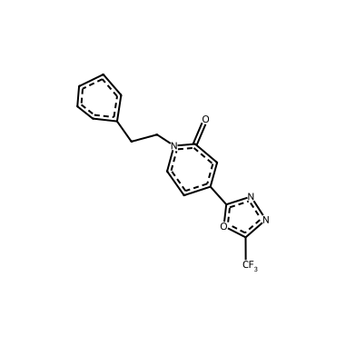 O=c1cc(-c2nnc(C(F)(F)F)o2)ccn1CCc1ccccc1